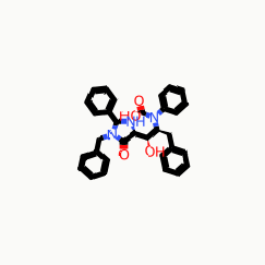 O=C1[C@H]([C@@H](O)[C@H](Cc2ccccc2)N(C(=O)O)c2ccccc2)NC(c2ccccc2)N1Cc1ccccc1